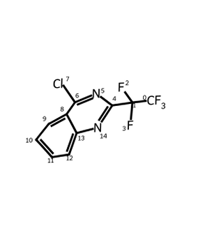 FC(F)(F)C(F)(F)c1nc(Cl)c2ccccc2n1